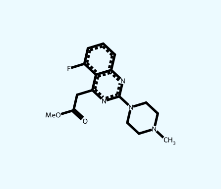 COC(=O)Cc1nc(N2CCN(C)CC2)nc2cccc(F)c12